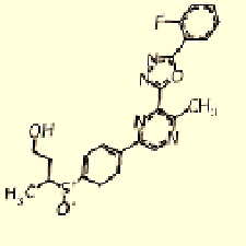 Cc1ncc(C2=CC=C([S+]([O-])C(C)CCO)CC2)nc1-c1nnc(-c2ccccc2F)o1